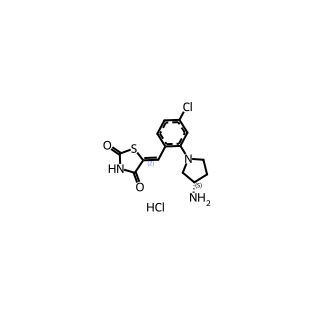 Cl.N[C@H]1CCN(c2cc(Cl)ccc2/C=C2\SC(=O)NC2=O)C1